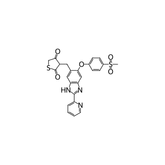 CS(=O)(=O)c1ccc(Oc2cc3nc(-c4ccccn4)[nH]c3cc2CC2C(=O)CSC2=O)cc1